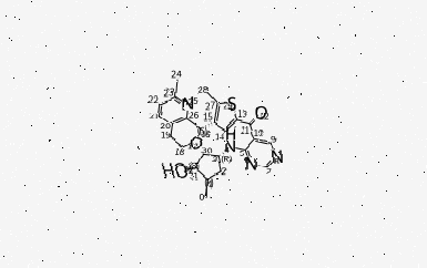 [CH2][C@@H]1C[C@@H](Nc2ncncc2C(=O)c2cc([C@@H]3OCCc4ccc(C)nc43)c(C)s2)C[C@@H]1O